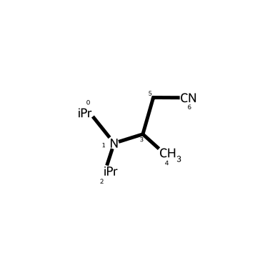 CC(C)N(C(C)C)C(C)CC#N